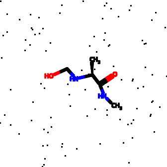 CNC(=O)[C@H](C)NCO